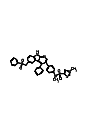 CN(c1ccc(-c2cnc3[nH]c4ccc(CS(=O)(=O)c5ccccc5)cc4c3c2-c2ccccc2)cc1)S(=O)(=O)c1cn(C)cn1